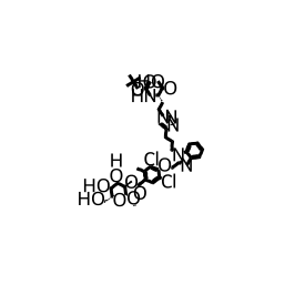 CO[C@H]1O[C@H](CO)[C@@H](O)[C@H](O)[C@H]1OC(=O)c1cc(Cl)c(OCc2nc3ccccc3n2CCCc2cn(CC[C@H](NC(=O)OC(C)(C)C)C(=O)O)nn2)c(Cl)c1C